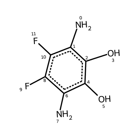 Nc1c(O)c(O)c(N)c(F)c1F